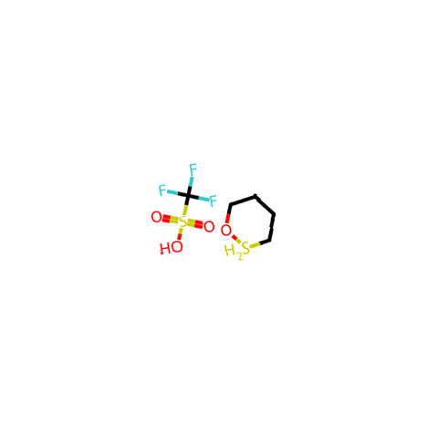 C1CC[SH2]OC1.O=S(=O)(O)C(F)(F)F